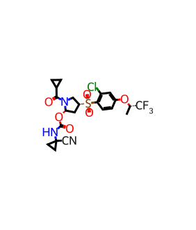 C[C@H](Oc1ccc(S(=O)(=O)[C@@H]2C[C@@H](OC(=O)NC3(C#N)CC3)N(C(=O)C3CC3)C2)c(Cl)c1)C(F)(F)F